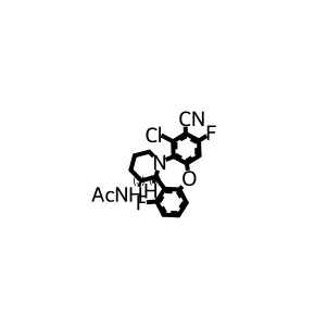 CC(=O)N[C@H]1CCCN2c3c(cc(F)c(C#N)c3Cl)Oc3cccc(F)c3[C@H]12